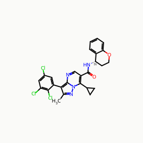 Cc1nn2c(C3CC3)c(C(=O)N[C@H]3CCOc4ccccc43)cnc2c1-c1cc(Cl)cc(Cl)c1Cl